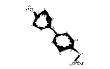 CCCCCCSc1ccc(-c2ccc(O)cc2)cc1